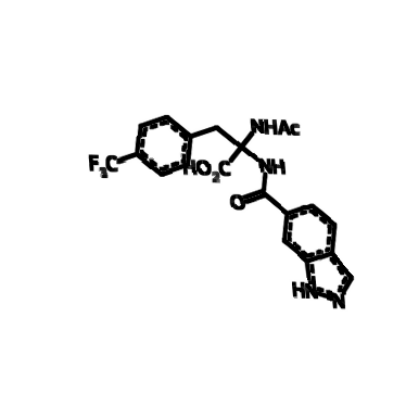 CC(=O)NC(Cc1ccc(C(F)(F)F)cc1)(NC(=O)c1ccc2cn[nH]c2c1)C(=O)O